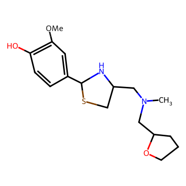 COc1cc(C2NC(CN(C)CC3CCCO3)CS2)ccc1O